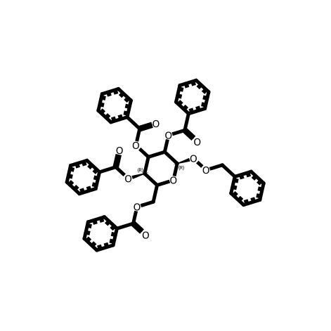 O=C(OCC1O[C@H](OOCc2ccccc2)C(OC(=O)c2ccccc2)C(OC(=O)c2ccccc2)[C@@H]1OC(=O)c1ccccc1)c1ccccc1